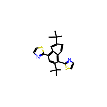 CC(C)(C)c1ccc2c(-c3nccs3)c(C(C)(C)C)cc(-c3nccs3)c2c1